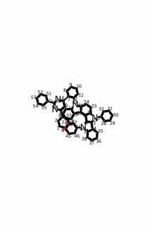 c1ccc(-c2cc(-c3ccccc3-n3c4ccccc4c4c5c(ccc43)n(-c3ccccc3)c3c4ccccc4n(-c4ccccc4)c53)nc(-c3ccccc3)n2)cc1